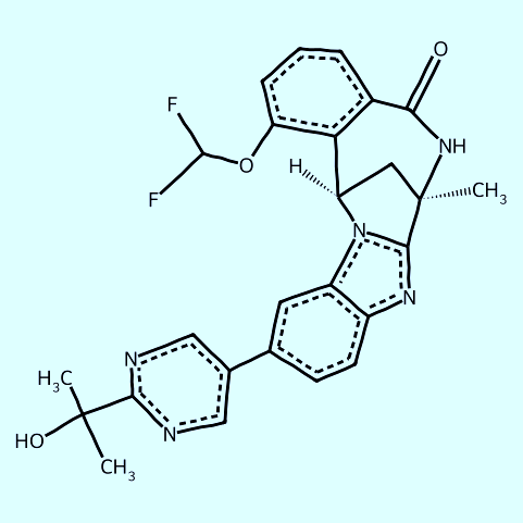 CC(C)(O)c1ncc(-c2ccc3nc4n(c3c2)[C@@H]2C[C@@]4(C)NC(=O)c3cccc(OC(F)F)c32)cn1